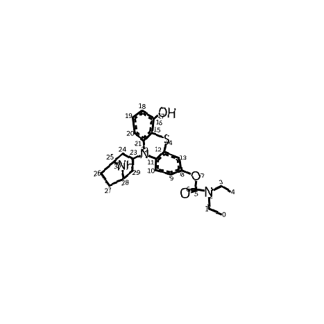 CCN(CC)C(=O)Oc1ccc2c(c1)Sc1c(O)cccc1N2C1CC2CCC(C1)N2